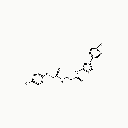 C=C(CCNC(=O)COc1ccc(Cl)cc1)Nc1cc(-c2ccc(Cl)cc2)on1